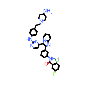 NC1CCN(CCc2ccc(Nc3nccc(-c4c(-c5cccc(NC(=O)c6cc(F)ccc6Cl)c5)nc5ccccn45)n3)cc2)CC1